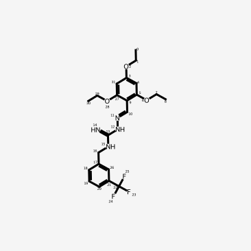 CCOc1cc(OCC)c(C=NNC(=N)NCc2cccc(C(F)(F)F)c2)c(OCC)c1